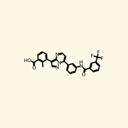 Cc1c(C(=O)O)cccc1-c1cnn2c(-c3cccc(NC(=O)c4cccc(C(F)(F)F)c4)c3)ccnc12